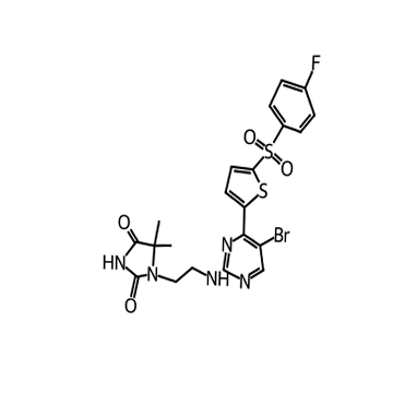 CC1(C)C(=O)NC(=O)N1CCNc1ncc(Br)c(-c2ccc(S(=O)(=O)c3ccc(F)cc3)s2)n1